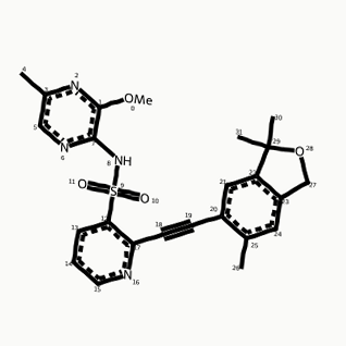 COc1nc(C)cnc1NS(=O)(=O)c1cccnc1C#Cc1cc2c(cc1C)COC2(C)C